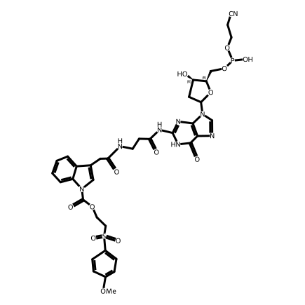 COc1ccc(S(=O)(=O)CCOC(=O)n2cc(CC(=O)NCCC(=O)Nc3nc4c(ncn4C4C[C@@H](O)[C@@H](COP(O)OCCC#N)O4)c(=O)[nH]3)c3ccccc32)cc1